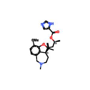 C=C(C)[C@@]12CCN(C)Cc3ccc(OC)c(c31)OC2C[C@H](C)OC(=O)c1cnc[nH]1